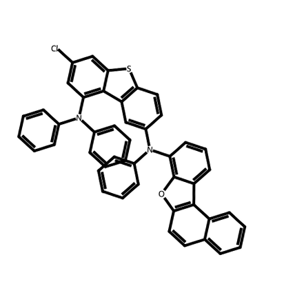 Clc1cc(N(c2ccccc2)c2ccccc2)c2c(c1)sc1ccc(N(c3ccccc3)c3cccc4c3oc3ccc5ccccc5c34)cc12